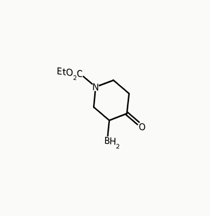 BC1CN(C(=O)OCC)CCC1=O